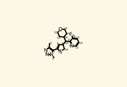 Cc1nnn(C)c1C1=CC(C(c2ncccc2F)C2CCOCC2)CS1